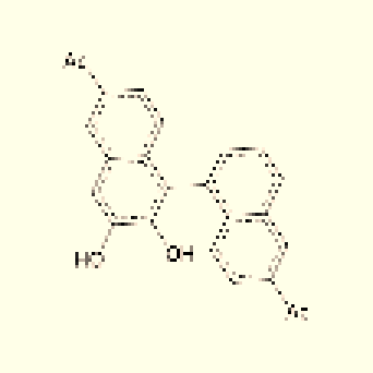 CC(=O)c1ccc2c(-c3c(O)c(O)cc4cc(C(C)=O)ccc34)cccc2c1